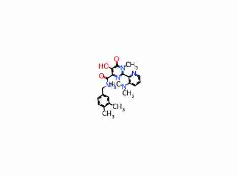 Cc1ccc(CNC(=O)c2nc(-c3ncccc3N(C)C)n(C)c(=O)c2O)cc1C